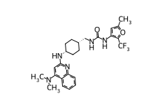 Cc1cc(NC(=O)NC[C@H]2CC[C@@H](Nc3cc(N(C)C)c4ccccc4n3)CC2)c(C(F)(F)F)o1